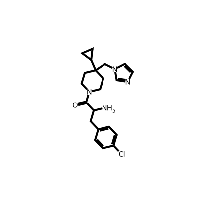 NC(Cc1ccc(Cl)cc1)C(=O)N1CCC(Cn2ccnc2)(C2CC2)CC1